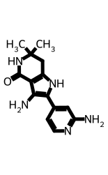 CC1(C)Cc2[nH]c(-c3ccnc(N)c3)c(N)c2C(=O)N1